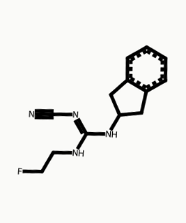 N#CN=C(NCCF)NC1Cc2ccccc2C1